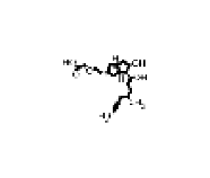 CC#CCC(C)CC=C(O)[C@H]1[C@@H]2C[C@H](CCOCC(=O)O)C[C@@H]2C[C@@H]1O